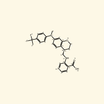 CN(c1ccc(C(F)(F)F)cc1)c1ccc2c(c1)OCC[C@H]2CNc1cnccc1C(=O)O